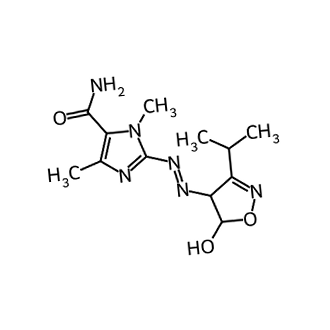 Cc1nc(N=NC2C(C(C)C)=NOC2O)n(C)c1C(N)=O